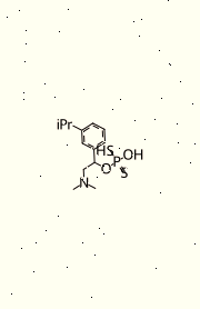 CC(C)c1cccc(C(CN(C)C)OP(O)(=S)S)c1